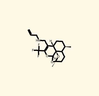 C=CCNCC1=C(C(F)(F)F)O[C@@H]2O[C@]3(C)CCC4[C@H](C)CC[C@@H]1[C@]42O3